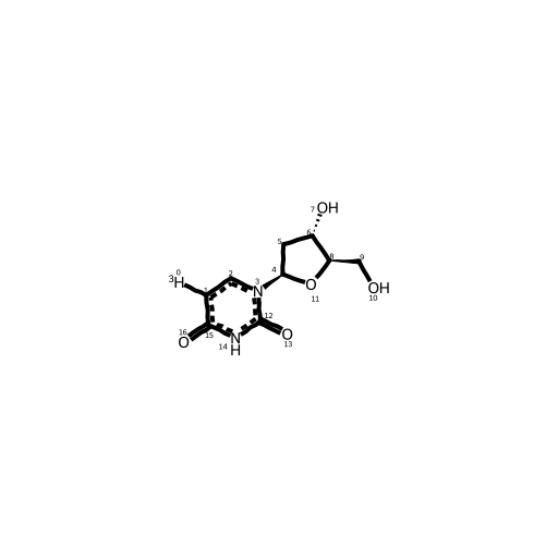 [3H]c1cn([C@H]2C[C@H](O)[C@@H](CO)O2)c(=O)[nH]c1=O